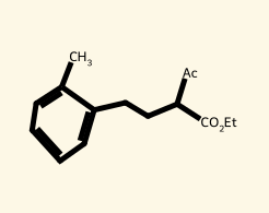 CCOC(=O)C(CCc1ccccc1C)C(C)=O